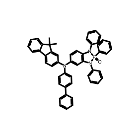 CC1(C)c2ccccc2-c2ccc(N(c3ccc(-c4ccccc4)cc3)c3ccc4c(c3)N(c3ccccc3)P(=O)(c3ccccc3)N4c3ccccc3)cc21